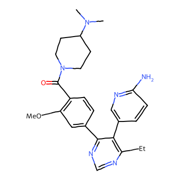 CCc1ncnc(-c2ccc(C(=O)N3CCC(N(C)C)CC3)c(OC)c2)c1-c1ccc(N)nc1